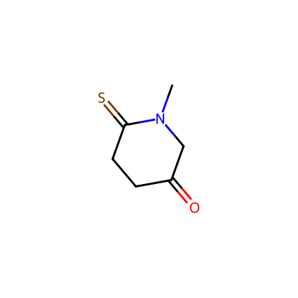 CN1CC(=O)CCC1=S